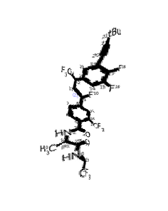 C[C@@H](NC(=O)c1ccc(/C(F)=C/C(c2cc(F)c(F)c(C#CC(C)(C)C)c2)C(F)(F)F)cc1C(F)(F)F)C(=O)NCC(F)(F)F